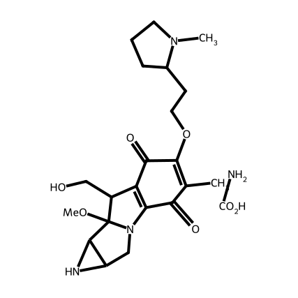 COC12C(CO)C3=C(C(=O)C(C)=C(OCCC4CCCN4C)C3=O)N1CC1NC12.NC(=O)O